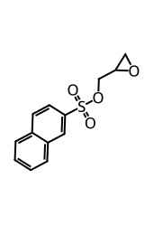 O=S(=O)(OCC1CO1)c1ccc2ccccc2c1